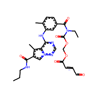 CCCNC(=O)c1cn2ncnc(Nc3cc(C(=O)N(CC)C(=O)OCOC(=O)/C=C/C=O)ccc3C)c2c1C